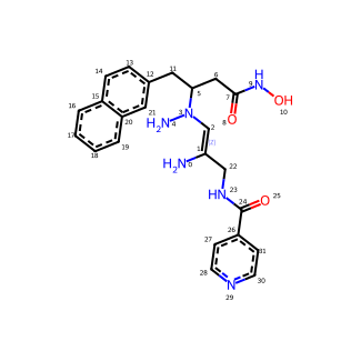 N/C(=C\N(N)C(CC(=O)NO)Cc1ccc2ccccc2c1)CNC(=O)c1ccncc1